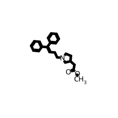 COC(=O)CC1CCN(CCC=C(c2ccccc2)c2ccccc2)C1